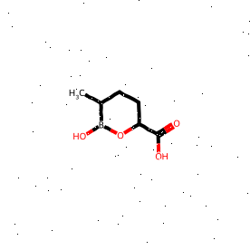 CC1CCC(C(=O)O)OB1O